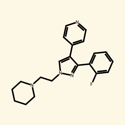 Fc1cc[c]cc1-c1nn(CCN2CCCCC2)cc1-c1ccncc1